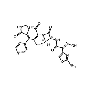 Nc1nc(C(=NO)C(=O)N[C@@H]2C(=O)N3C(C(=O)O)=C(C(=C4CCNC4=O)c4ccncc4)CS[C@H]23)cs1